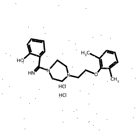 Cc1cccc(C)c1OCCN1CCN(C(=N)c2ccccc2O)CC1.Cl.Cl